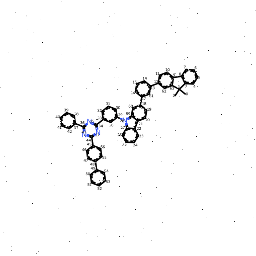 CC1(C)c2ccccc2-c2ccc(-c3cccc(-c4ccc5c6ccccc6n(-c6cccc(-c7nc(-c8ccccc8)nc(-c8ccc(-c9ccccc9)cc8)n7)c6)c5c4)c3)cc21